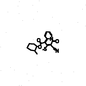 CSc1c(C#N)c(=O)n2ccccc2c1C(=O)OC1CCCCC1C